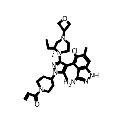 C=CC(=O)N1CCC(n2nc(N3CCN(C4COC4)C[C@]3(C)CC)c(-c3c(Cl)c(C)cc4[nH]nc(N)c34)c2C)CC1